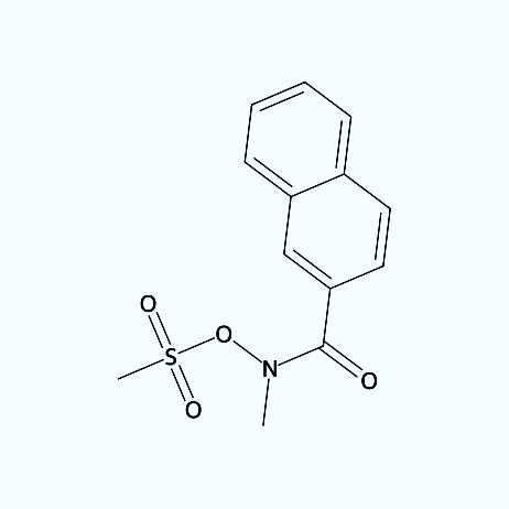 CN(OS(C)(=O)=O)C(=O)c1ccc2ccccc2c1